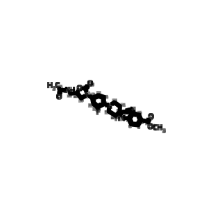 COC(=O)c1ccc(NC2(C#N)CCN(c3ccc(N4CC(CNC(C)=O)OC4=O)cc3F)CC2)cc1